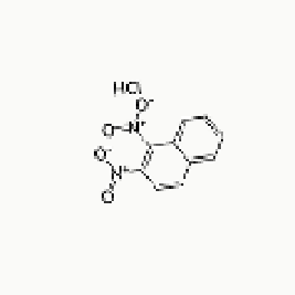 Cl.O=[N+]([O-])c1ccc2ccccc2c1[N+](=O)[O-]